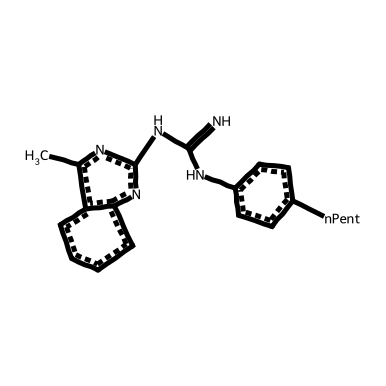 CCCCCc1ccc(NC(=N)Nc2nc(C)c3ccccc3n2)cc1